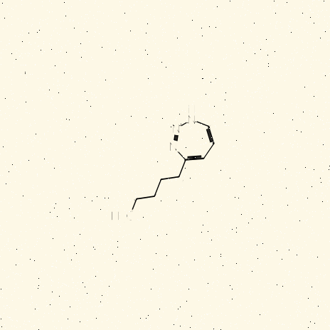 CCCCCC1=CC=CNN=N1